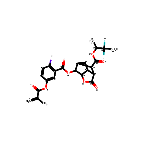 C=C(C)C(=O)Oc1ccc(I)c(C(=O)OC2C3CC4C2OC(=O)C4C3C(=O)OC(C(F)(F)F)C(F)(F)S(=O)(=O)O)c1